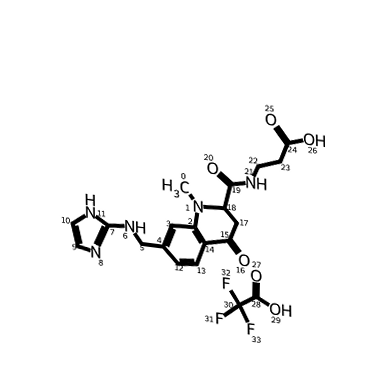 CN1c2cc(CNc3ncc[nH]3)ccc2C(=O)CC1C(=O)NCCC(=O)O.O=C(O)C(F)(F)F